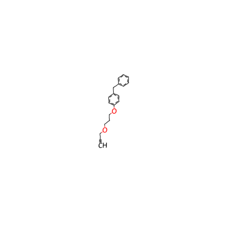 C#CCOCCCOc1ccc(Cc2ccccc2)cc1